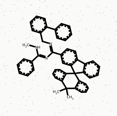 CN/C(=N\C(=N/Cc1ccccc1-c1ccccc1)c1ccc2c(c1)C1(c3ccccc3-2)c2ccccc2C(C)(C)c2ccccc21)c1ccccc1